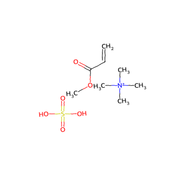 C=CC(=O)OC.C[N+](C)(C)C.O=S(=O)(O)O